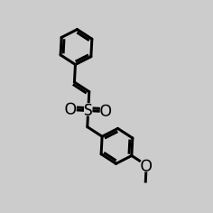 COc1ccc(CS(=O)(=O)/C=C/c2ccccc2)cc1